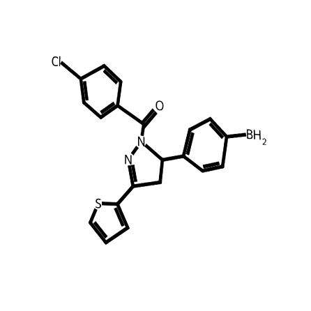 Bc1ccc(C2CC(c3cccs3)=NN2C(=O)c2ccc(Cl)cc2)cc1